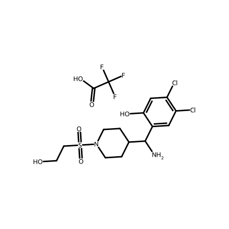 NC(c1cc(Cl)c(Cl)cc1O)C1CCN(S(=O)(=O)CCO)CC1.O=C(O)C(F)(F)F